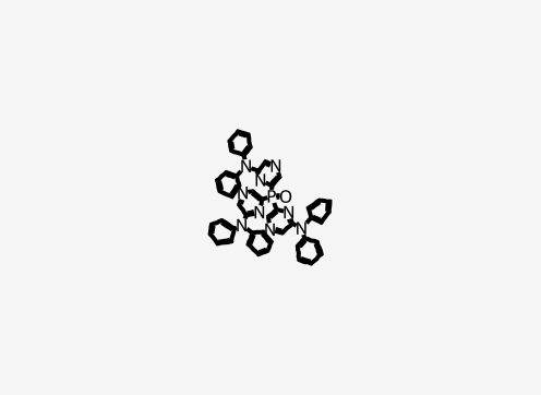 O=P(c1cncc(N(c2ccccc2)c2ccccc2)n1)(c1cncc(N(c2ccccc2)c2ccccc2)n1)c1cncc(N(c2ccccc2)c2ccccc2)n1